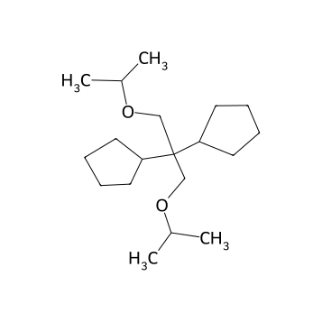 CC(C)OCC(COC(C)C)(C1CCCC1)C1CCCC1